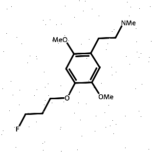 CNCCc1cc(OC)c(OCCCF)cc1OC